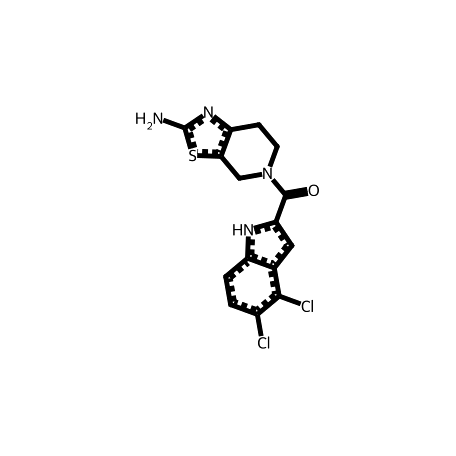 Nc1nc2c(s1)CN(C(=O)c1cc3c(Cl)c(Cl)ccc3[nH]1)CC2